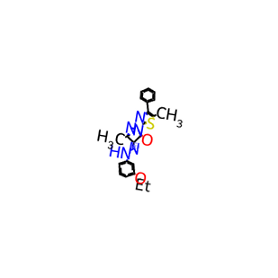 CCOc1cccc(N/N=C2/C(=O)N(c3nc(-c4ccccc4)c(C)s3)N=C2C)c1